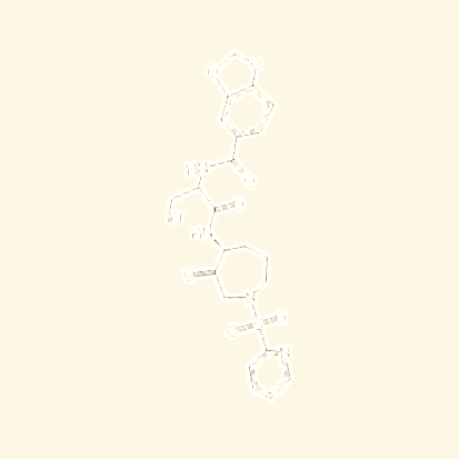 CC(C)CC(NC(=O)c1ccc2c(c1)OCO2)C(=O)N[C@H]1CCCN(S(=O)(=O)c2ccccn2)CC1=O